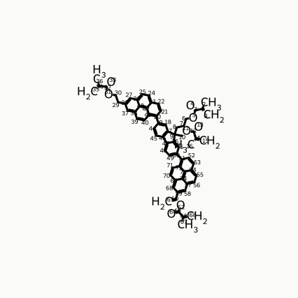 C=C(C)C(=O)OCCCC1(COC(=O)C(=C)C)c2cc(-c3ccc4ccc5cc(CCOC(=O)C(=C)C)cc6ccc3c4c56)ccc2-c2ccc(-c3ccc4ccc5cc(C(=C)OC(=O)C(=C)C)cc6ccc3c4c56)cc21